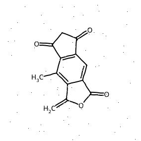 C=C1OC(=O)c2cc3c(c(C)c21)C(=O)CC3=O